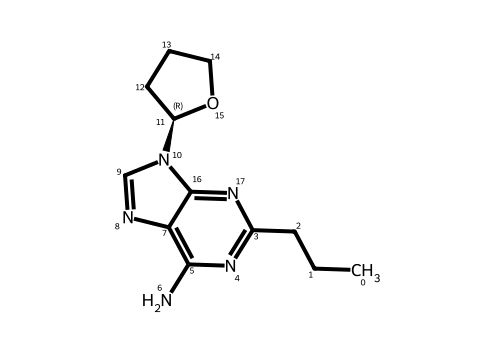 CCCc1nc(N)c2ncn([C@H]3CCCO3)c2n1